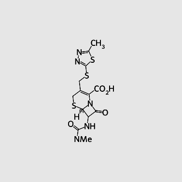 CNC(=O)NC1C(=O)N2C(C(=O)O)=C(CSc3nnc(C)s3)CS[C@H]12